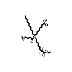 CCCCCCCCCCC(CCCCC=CC(=O)OC)N(CCCC/C=C/C(F)(F)C(=O)OCC)C(=O)CCCN(C)C